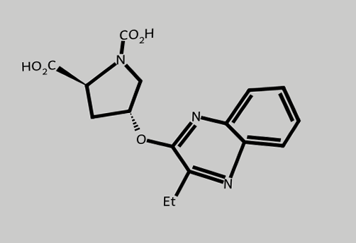 CCc1nc2ccccc2nc1O[C@@H]1C[C@@H](C(=O)O)N(C(=O)O)C1